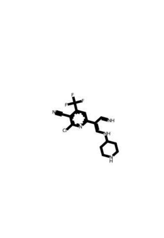 N#Cc1c(C(F)(F)F)cc(/C(C=N)=C/NC2CCNCC2)nc1Cl